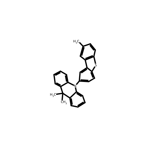 Cc1ccc2sc3ccc(N4c5ccccc5C(C)(C)c5ccccc54)cc3c2c1